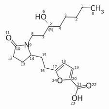 CCCCC[C@@H](O)CCN1C(=O)CCC1CCc1ccc(C(=O)O)o1